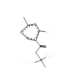 CCOC(=O)C(C)(CC(=O)c1ccc(Cl)cc1N)NC(C)=O